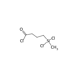 C[Si](Cl)(Cl)CCCC(=O)Cl